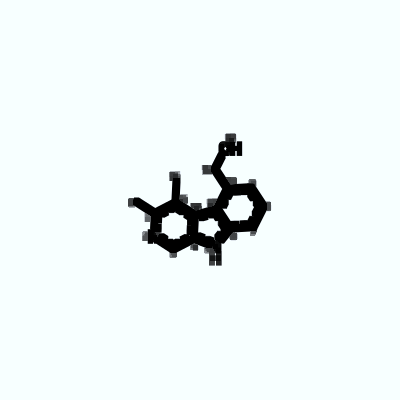 Cc1ncc2[nH]c3cccc(CO)c3c2c1C